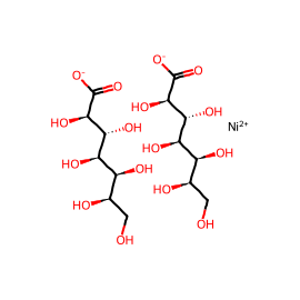 O=C([O-])[C@H](O)[C@H](O)[C@H](O)[C@@H](O)[C@H](O)CO.O=C([O-])[C@H](O)[C@H](O)[C@H](O)[C@@H](O)[C@H](O)CO.[Ni+2]